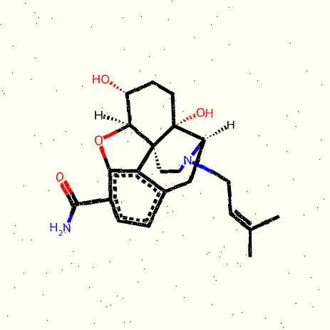 CC(C)=CCN1CC[C@]23c4c5ccc(C(N)=O)c4O[C@H]2[C@H](O)CC[C@@]3(O)[C@H]1C5